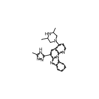 Cc1nnc(-c2cc3c(N4CC(C)NC(C)C4)ccnc3n3c2nc2ccccc23)[nH]1